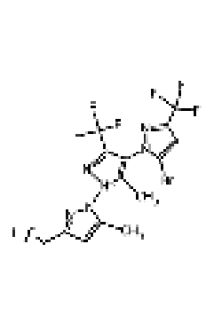 CCc1cc(C)n([N+]2N=C(C(F)(F)F)C(n3nc(C(F)(F)F)cc3Br)=C2C)n1